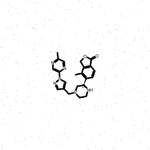 Cc1cnc(-n2cc(CN3CCN[C@H](c4ccc5c(c4C)COC5=O)C3)cn2)cn1